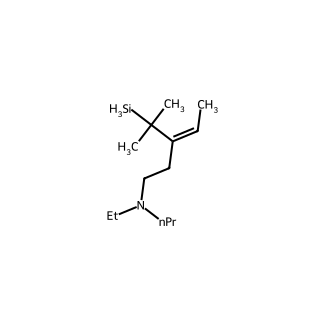 CC=C(CCN(CC)CCC)C(C)(C)[SiH3]